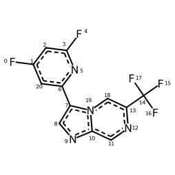 Fc1cc(F)nc(-c2cnc3cnc(C(F)(F)F)cn23)c1